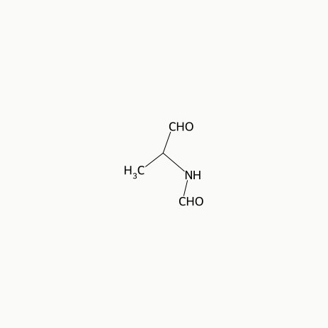 CC(C=O)NC=O